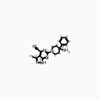 N#Cc1nc(N2CCC(N)(c3ccccc3)CC2)nc2[nH]nc(I)c12